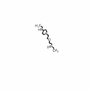 CCNCCOCCN1CCC(NCC)CC1